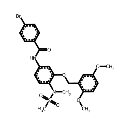 COc1ccc(OC)c(COc2cc(NC(=O)c3ccc(Br)cc3)ccc2N(C)S(C)(=O)=O)c1